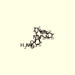 CCCN1CCCC1c1nc2c(OC(N)=O)cccc2n1CCN1CCCCC1CC